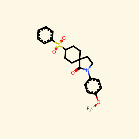 O=C1N(c2ccc(OC(F)(F)F)cc2)CCC12CCC(S(=O)(=O)c1ccccc1)CC2